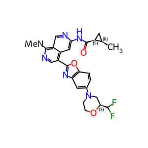 CNc1ncc(-c2nc3cc(N4CCO[C@H](C(F)F)C4)ccc3o2)c2cc(NC(=O)[C@H]3C[C@H]3C)ncc12